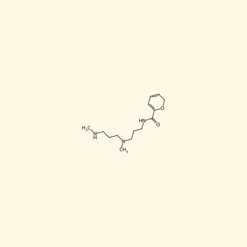 CNCCCN(C)CCCNC(=O)C1=CC=CCO1